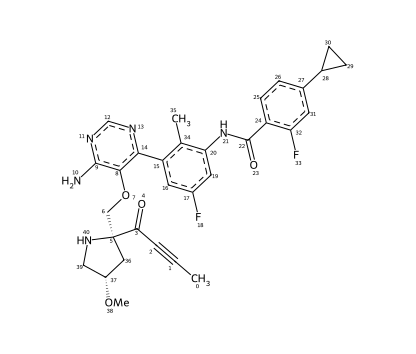 CC#CC(=O)[C@@]1(COc2c(N)ncnc2-c2cc(F)cc(NC(=O)c3ccc(C4CC4)cc3F)c2C)C[C@H](OC)CN1